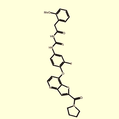 COc1ccccc1CC(=O)NC(=S)Nc1ccc(Oc2ccnc3cc(C(=O)N4CCCC4)sc23)c(F)c1